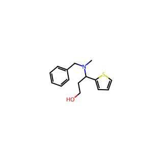 CN(Cc1ccccc1)C(CCO)c1cccs1